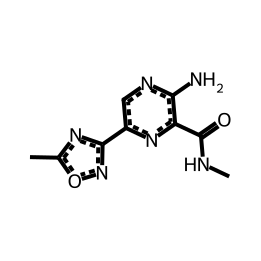 CNC(=O)c1nc(-c2noc(C)n2)cnc1N